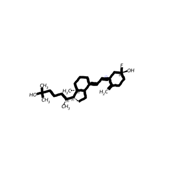 C=C1CC[C@@](O)(F)C/C1=C/C=C1CCC[C@@]2(C)C1CC[C@@H]2[C@H](C)CCCC(C)(C)O